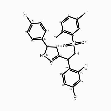 Cc1ccc(F)cc1S(=O)(=O)NC(C1=NNC(c2ccc(Cl)cc2)C1)c1ccc(Cl)cc1Cl